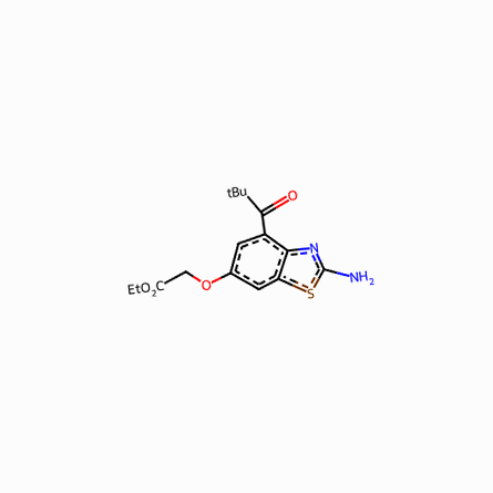 CCOC(=O)COc1cc(C(=O)C(C)(C)C)c2nc(N)sc2c1